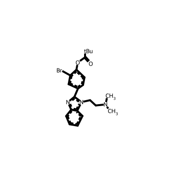 CN(C)CCn1c(-c2ccc(OC(=O)C(C)(C)C)c(Br)c2)nc2ccccc21